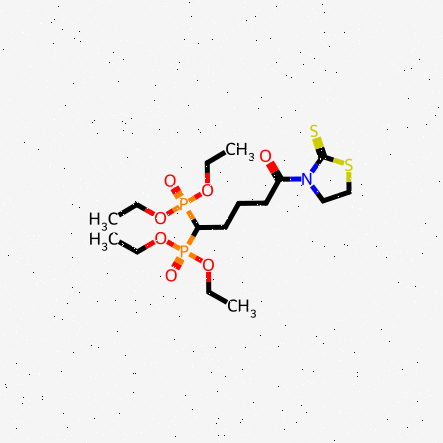 CCOP(=O)(OCC)C(CCCC(=O)N1CCSC1=S)P(=O)(OCC)OCC